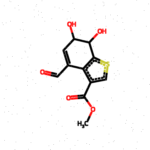 COC(=O)c1csc2c1C(C=O)=CC(O)C2O